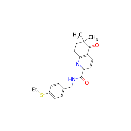 CCSc1ccc(CNC(=O)c2ccc3c(n2)CCC(C)(C)C3=O)cc1